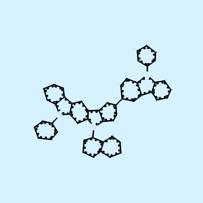 c1ccc(-n2c3ccccc3c3cc(-c4ccc5c(c4)c4cc6c7ccccc7n(-c7ccccc7)c6cc4n5-c4cccc5ccccc45)ccc32)cc1